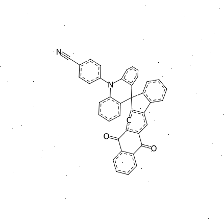 N#Cc1ccc(N2c3ccccc3C3(c4ccccc4-c4cc5c(cc43)C(=O)c3ccccc3C5=O)c3ccccc32)cc1